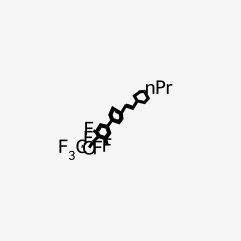 CCCC1CCC(/C=C/c2ccc(-c3cc(F)c(C(F)(F)OC(F)(F)F)c(F)c3)cc2)CC1